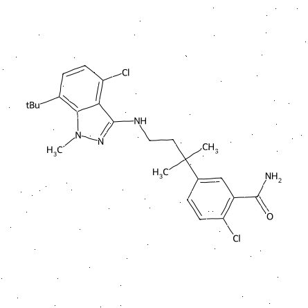 Cn1nc(NCCC(C)(C)c2ccc(Cl)c(C(N)=O)c2)c2c(Cl)ccc(C(C)(C)C)c21